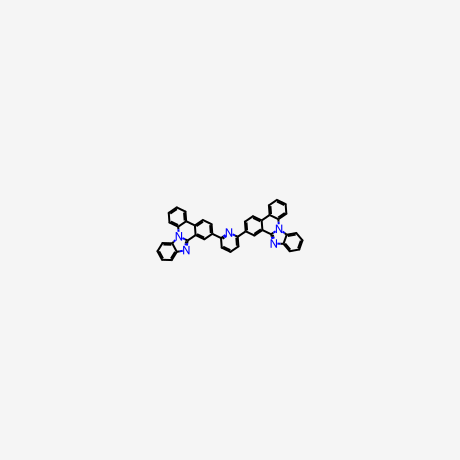 c1cc(-c2ccc3c4ccccc4n4c5ccccc5nc4c3c2)nc(-c2ccc3c4ccccc4n4c5ccccc5nc4c3c2)c1